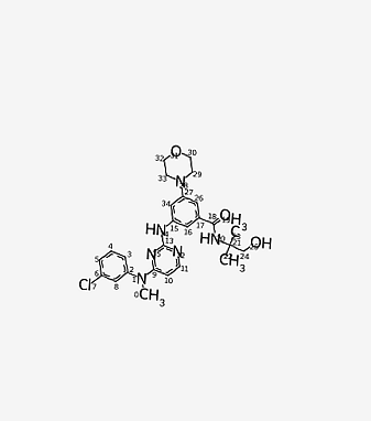 CN(c1cccc(Cl)c1)c1ccnc(Nc2cc(C(=O)NC(C)(C)CO)cc(N3CCOCC3)c2)n1